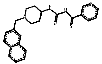 O=C(NC(=O)c1cccnc1)NC1CCN(Cc2ccc3ccccc3c2)CC1